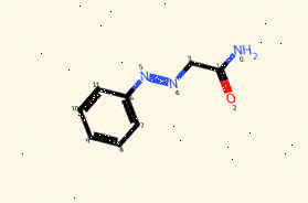 NC(=O)CN=Nc1ccccc1